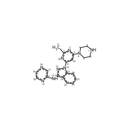 Cc1nc(N2CCNCC2)cc(-n2nc(Nc3cnccn3)c3ccccc32)n1